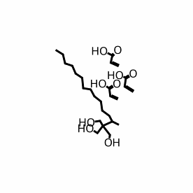 C=CC(=O)O.C=CC(=O)O.C=CC(=O)O.CCCCCCCCCCCCC(C)C(CO)(CO)CO